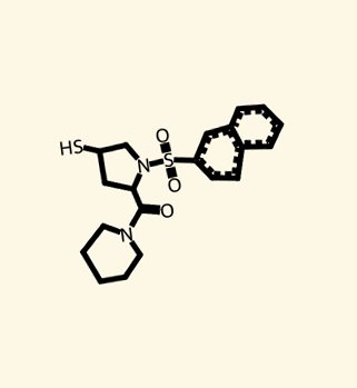 O=C(C1CC(S)CN1S(=O)(=O)c1ccc2ccccc2c1)N1CCCCC1